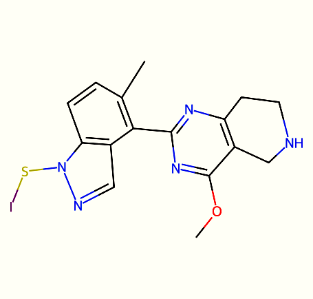 COc1nc(-c2c(C)ccc3c2cnn3SI)nc2c1CNCC2